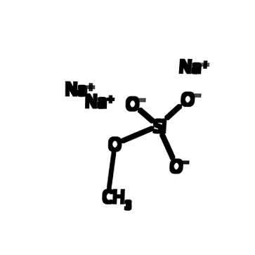 CO[Si]([O-])([O-])[O-].[Na+].[Na+].[Na+]